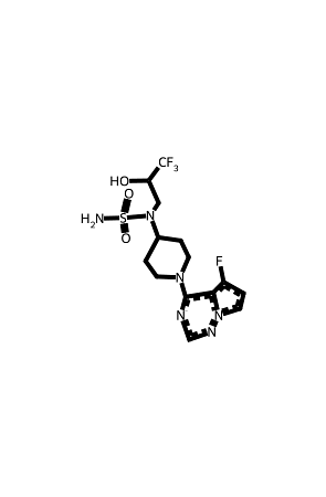 NS(=O)(=O)N(CC(O)C(F)(F)F)C1CCN(c2ncnn3ccc(F)c23)CC1